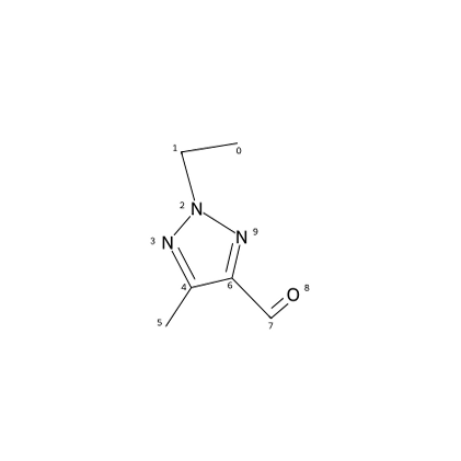 CCn1nc(C)c(C=O)n1